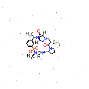 C[C@@H](CN1C[C@@H]2C[C@H]1C(=O)N2[C@@H](C)c1cccc(S(=O)(=O)N(C)C)c1)C(=O)N1CCC[C@H]1C#N